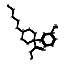 CCCCCN1CCC(C(=O)CC)(c2cccc(O)c2)CC1